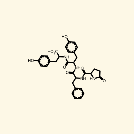 O=C1CCC(C(=O)NC(Cc2ccccc2)C(=O)NC(Cc2ccc(O)cc2)C(=O)NC(Cc2ccc(O)cc2)C(=O)O)N1